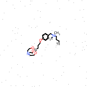 [2H]CCC[N+](C)(C)Cc1ccc(OCCC[Si]23OCCN(CCO2)CCO3)cc1